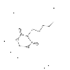 CCCCCC1C(=O)OCOC1=O